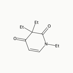 [CH2]CN1C=CC(=O)C(CC)(CC)C1=O